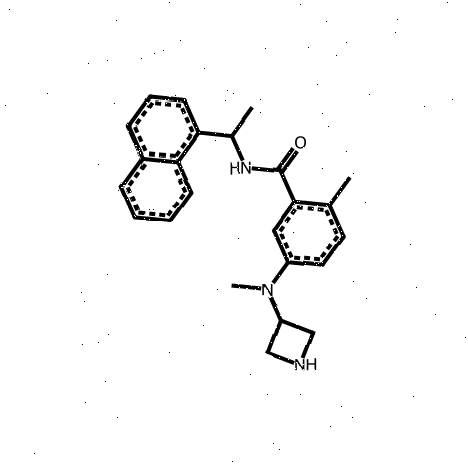 Cc1ccc(N(C)C2CNC2)cc1C(=O)NC(C)c1cccc2ccccc12